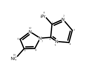 CC(C)c1nccnc1-n1cc(C#N)cn1